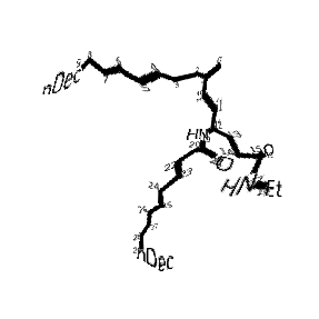 C=C(CCCCCCCCCCCCCCCCC)CCC(CCC(=O)NCC)NC(=O)CCCCCCCCCCCCCCCCC